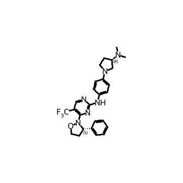 CN(C)[C@@H]1CCN(c2ccc(Nc3ncc(C(F)(F)F)c(N4OCC[C@H]4c4ccccc4)n3)cc2)C1